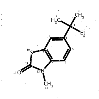 CCC(C)(C)c1ccc2c(c1)sc(=O)n2C